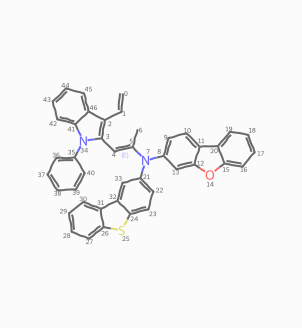 C=Cc1c(/C=C(\C)N(c2ccc3c(c2)oc2ccccc23)c2ccc3sc4ccccc4c3c2)n(-c2ccccc2)c2ccccc12